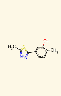 Cc1nnc(-c2ccc(C)c(O)c2)s1